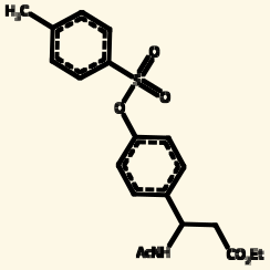 CCOC(=O)CC(NC(C)=O)c1ccc(OS(=O)(=O)c2ccc(C)cc2)cc1